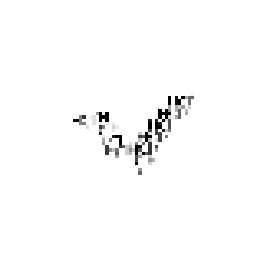 Cl.Cl.Cl.Cl.Cl.Cl.Cl.Cl.Cl.Cl